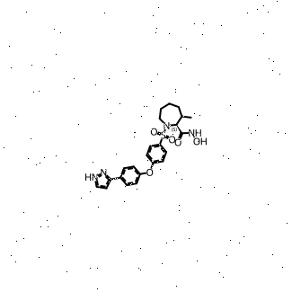 CC1CCCCN(S(=O)(=O)c2ccc(Oc3ccc(-c4cc[nH]n4)cc3)cc2)[C@@H]1C(=O)NO